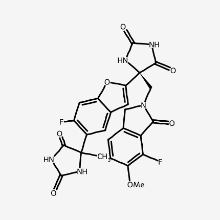 COc1ccc2c(c1F)C(=O)N(C[C@@]1(c3cc4cc(C5(C)NC(=O)NC5=O)c(F)cc4o3)NC(=O)NC1=O)C2